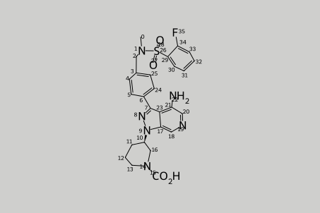 CN(Cc1ccc(-c2nn([C@@H]3CCCN(C(=O)O)C3)c3cncc(N)c23)cc1)S(=O)(=O)c1ccccc1F